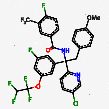 COc1ccc(CC(NC(=O)c2ccc(F)c(C(F)(F)F)c2)(c2cc(F)cc(OC(F)(F)C(F)F)c2)c2ccc(Cl)cn2)cc1